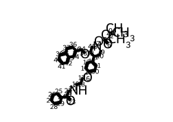 CC(C)(C)OC(=O)ON1CCC(c2ccc(OCCCNCC(=O)c3ccccc3)cc2)C(OCc2ccc3ccccc3c2)C1